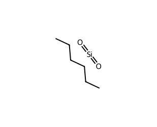 CCCCCC.O=[Si]=O